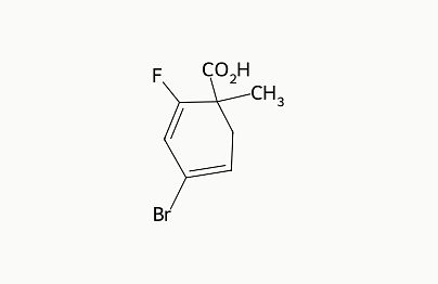 CC1(C(=O)O)CC=C(Br)C=C1F